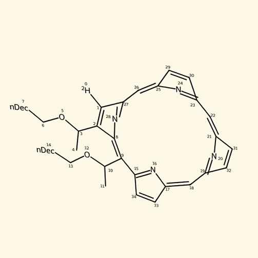 [2H]C1=C(C(C)OCCCCCCCCCCC)C2=C(C(C)OCCCCCCCCCCC)C3=NC(=CC4=NC(=CC5=NC(=CC1=N2)C=C5)C=C4)C=C3